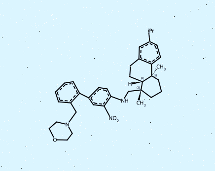 CC(C)c1ccc2c(c1)CC[C@H]1[C@@](C)(CNc3ccc(-c4ccccc4CN4CCOCC4)cc3[N+](=O)[O-])CCC[C@]21C